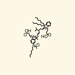 CCCCCCN(C(C)=O)c1ccc(NCCC(=O)O)c(C(C)(C)C/C=C/C(C/C=C2/N(CCC(=O)O)c3ccccc3C2(CCCCCC)CCCCCC)C(C)C)c1